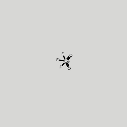 [O]=[Ce](=[O])([F])([F])[F]